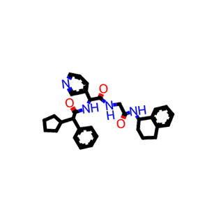 O=C(CNC(=O)C(NC(=O)C(c1ccccc1)C1CCCC1)c1cccnc1)NC1CCCc2ccccc21